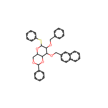 c1ccc(COC2C(Sc3ccccc3)OC3COC(c4ccccc4)OC3C2OCc2ccc3ccccc3c2)cc1